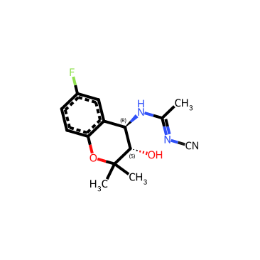 CC(=NC#N)N[C@@H]1c2cc(F)ccc2OC(C)(C)[C@H]1O